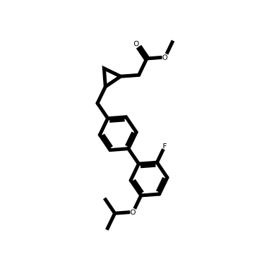 COC(=O)CC1CC1Cc1ccc(-c2cc(OC(C)C)ccc2F)cc1